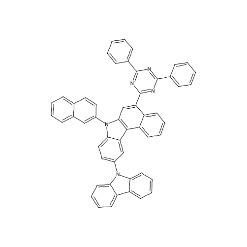 c1ccc(-c2nc(-c3ccccc3)nc(-c3cc4c(c5ccccc35)c3cc(-n5c6ccccc6c6ccccc65)ccc3n4-c3ccc4ccccc4c3)n2)cc1